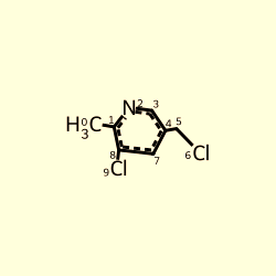 Cc1ncc(CCl)cc1Cl